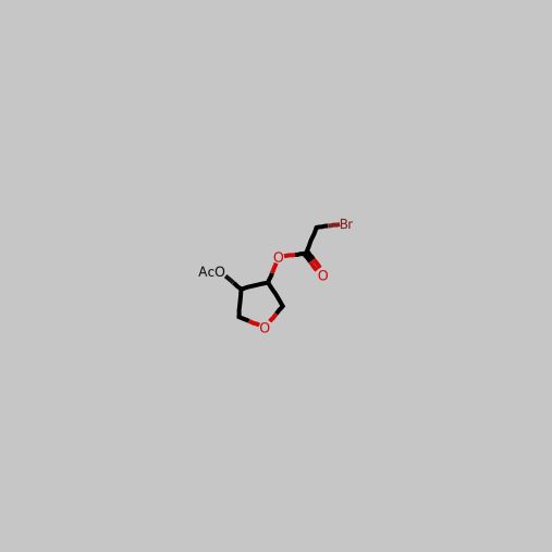 CC(=O)OC1COCC1OC(=O)CBr